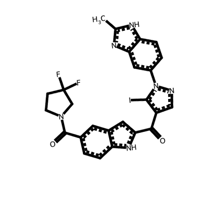 Cc1nc2cc(-n3ncc(C(=O)c4cc5cc(C(=O)N6CCC(F)(F)C6)ccc5[nH]4)c3I)ccc2[nH]1